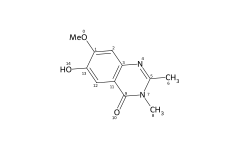 COc1cc2nc(C)n(C)c(=O)c2cc1O